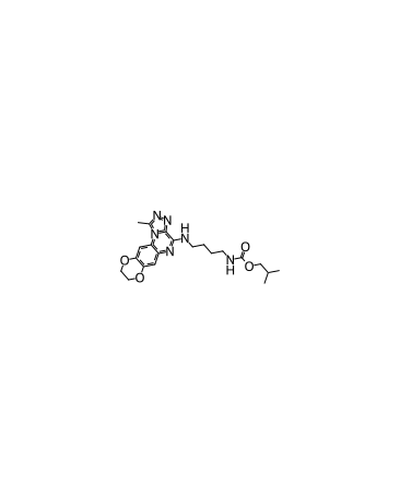 Cc1nnc2c(NCCCCNC(=O)OCC(C)C)nc3cc4c(cc3n12)OCCO4